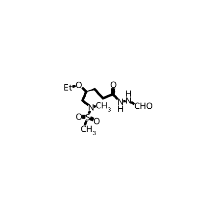 CCO[C@@H](CCC(=O)NNC=O)CN(C)S(C)(=O)=O